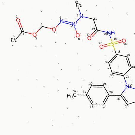 CCC(=O)OCO/N=[N+](\[O-])N(CC)CC(=O)NS(=O)(=O)c1ccc(-n2nc(C(F)(F)F)cc2-c2ccc(C)cc2)cc1